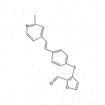 Cc1cc(/C=C/c2ccc(Sc3ccoc3C=O)cc2)ccn1